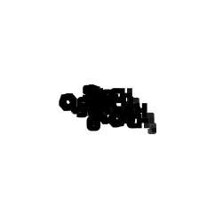 CN(C)c1ccc(CNC(=O)[C@H](CSCC2CCCCC2)NC(=O)C2SCCN2C(=O)OC(C)(C)C)cc1